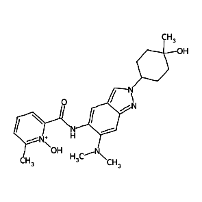 Cc1cccc(C(=O)Nc2cc3cn(C4CCC(C)(O)CC4)nc3cc2N(C)C)[n+]1O